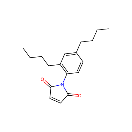 CCCCc1ccc(N2C(=O)C=CC2=O)c(CCCC)c1